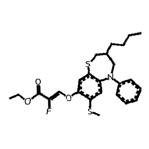 CCCCC1CSc2cc(O/C=C(\F)C(=O)OCC)c(SC)cc2N(c2ccccc2)C1